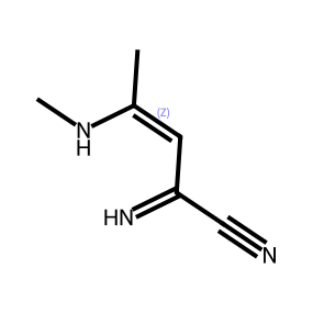 CN/C(C)=C\C(=N)C#N